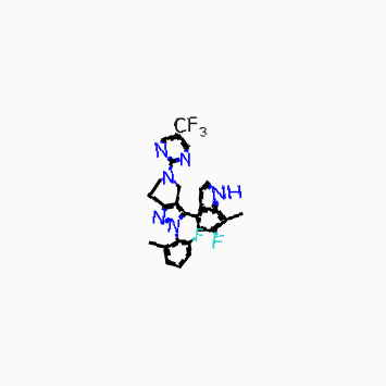 Cc1cccc(F)c1-n1nc2c(c1-c1cc(F)c(C)c3[nH]ccc13)CN(c1ncc(C(F)(F)F)cn1)CC2